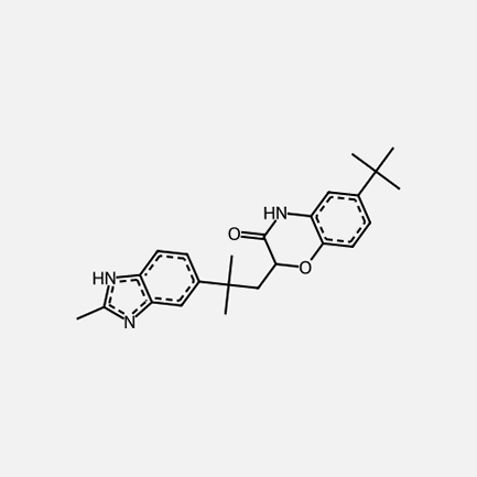 Cc1nc2cc(C(C)(C)CC3Oc4ccc(C(C)(C)C)cc4NC3=O)ccc2[nH]1